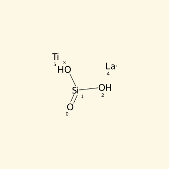 O=[Si](O)O.[La].[Ti]